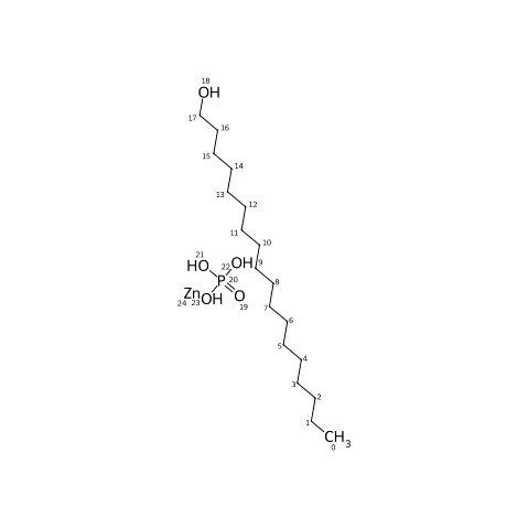 CCCCCCCCCCCCCCCCCCO.O=P(O)(O)O.[Zn]